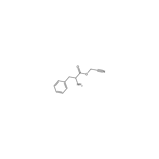 N#CCOC(=O)C(N)Cc1ccccc1